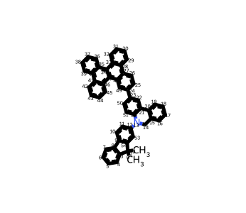 CC1(C)c2ccccc2-c2ccc(N3Cc4ccccc4-c4cc(-c5ccc6c7ccccc7c7c8ccccc8c8ccccc8c7c6c5)ccc43)cc21